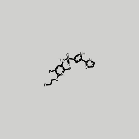 O=S(=O)(Nc1cc(F)c(OCCF)nc1F)c1c[nH]c(-c2nccs2)c1